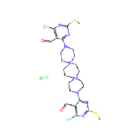 CSc1nc(Cl)c(C=O)c(N2CC[N+]3(CC2)CC[N+]2(CCN(c4nc(SC)nc(Cl)c4C=O)CC2)CC3)n1.[Cl-].[Cl-]